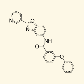 O=C(Nc1ccc2oc(-c3cccnc3)nc2c1)c1cccc(Oc2ccccc2)c1